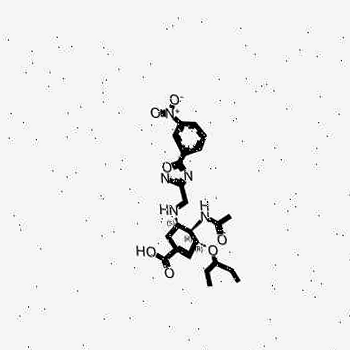 CCC(CC)O[C@@H]1C=C(C(=O)O)C[C@H](NCc2noc(-c3cccc([N+](=O)[O-])c3)n2)[C@H]1NC(C)=O